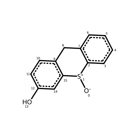 [O-][S+]1c2ccccc2Cc2ccc(O)cc21